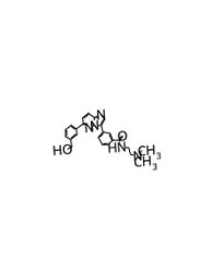 CN(C)CCNC(=O)c1cccc(-c2cnc3ccc(-c4cccc(CO)c4)nn23)c1